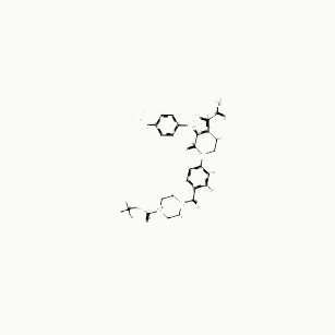 COc1ccc(-n2nc(C(N)=O)c3c2C(=O)N(c2ccc(C(=O)N4CCN(C(=O)OC(C)(C)C)CC4)c(C)c2)CC3)cc1